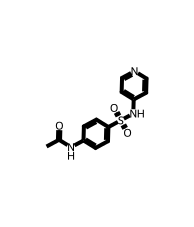 CC(=O)Nc1ccc(S(=O)(=O)Nc2ccncc2)cc1